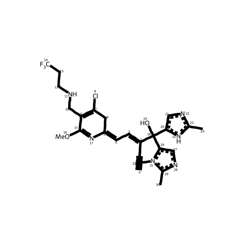 C#C/C(=C\C=C1/CC(Cl)=C(CNCCC(F)(F)F)C(OC)=N1)C(O)(c1cnc(C)[nH]1)c1cnc(C)n1C